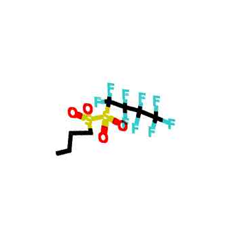 CCCCS(=O)(=O)S(=O)(=O)C(F)(F)C(F)(F)C(F)(F)C(F)(F)F